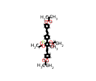 C=CC(=O)Oc1c(F)c(-c2ccc(C#Cc3ccc(OC(=O)C(=C)C)cc3)cc2)c(OC(=O)C=C)c(C)c1C#Cc1ccc(OC(=O)C(=C)C)cc1